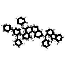 CC1(C)c2ccccc2-c2cccc(N(c3ccccc3)c3cc4c5c(ccc6cc(N(c7ccccc7)c7cc(-c8ccccc8)cc(-c8ccccc8)c7F)c7cccc(c7c65)O4)c3)c21